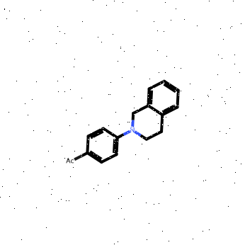 CC(=O)c1ccc(N2CCc3ccccc3C2)cc1